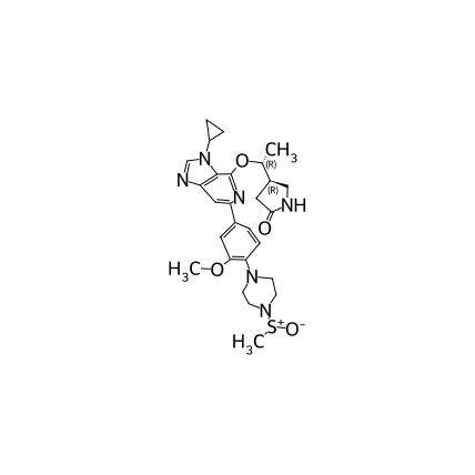 COc1cc(-c2cc3ncn(C4CC4)c3c(O[C@H](C)[C@H]3CNC(=O)C3)n2)ccc1N1CCN([S+](C)[O-])CC1